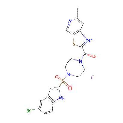 Cc1cc2c(cn1)SC(C(=O)N1CCN(S(=O)(=O)c3cc4cc(Br)ccc4[nH]3)CC1)=[N+]2.[I-]